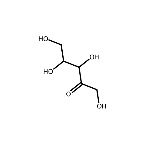 O=C(CO)C(O)C(O)CO